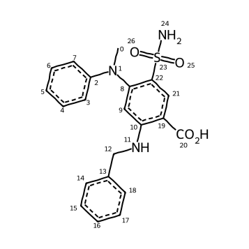 CN(c1ccccc1)c1cc(NCc2ccccc2)c(C(=O)O)cc1S(N)(=O)=O